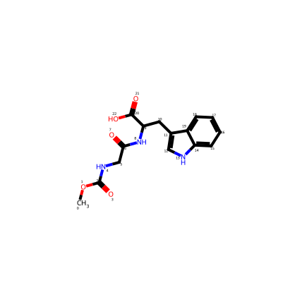 COC(=O)NCC(=O)NC(Cc1c[nH]c2ccccc12)C(=O)O